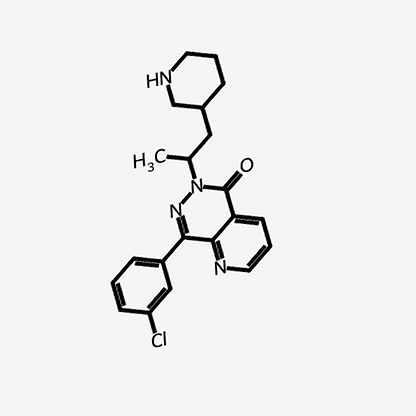 CC(CC1CCCNC1)n1nc(-c2cccc(Cl)c2)c2ncccc2c1=O